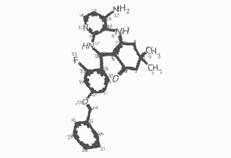 CC1(C)CC(=O)C2=C(C1)Nc1c(N)ccnc1NC2c1ccc(OCc2ccccc2)cc1F